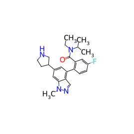 CCN(C(=O)c1cc(F)ccc1-c1cc(C2CCNC2)cc2c1cnn2C)C(C)C